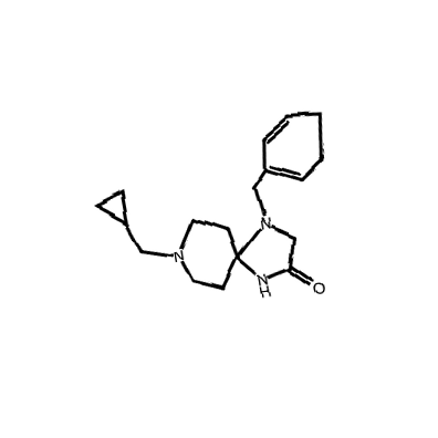 O=C1CN(CC2=CCCC=C2)C2(CCN(CC3CC3)CC2)N1